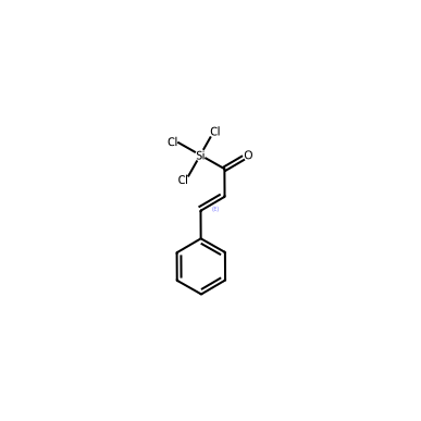 O=C(/C=C/c1ccccc1)[Si](Cl)(Cl)Cl